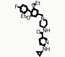 CCOc1cc(CN2CCC(NC(=O)c3ccc(NC4CC4)nc3)CC2)cc(OCC)c1-c1ccc(F)cc1